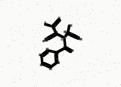 C=C(C)C(=O)N(C(=C)c1ccccc1)C(C)=O